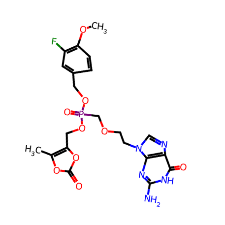 COc1ccc(COP(=O)(COCCn2cnc3c(=O)[nH]c(N)nc32)OCc2oc(=O)oc2C)cc1F